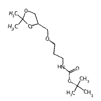 CC(C)(C)OC(=O)NCCCOCC1COC(C)(C)O1